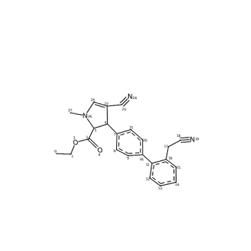 CCOC(=O)C1C(c2ccc(-c3ccccc3CC#N)cc2)C(C#N)=CN1C